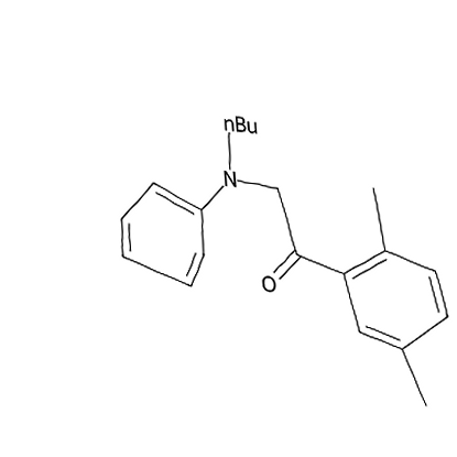 CCCCN(CC(=O)c1cc(C)ccc1C)c1ccccc1